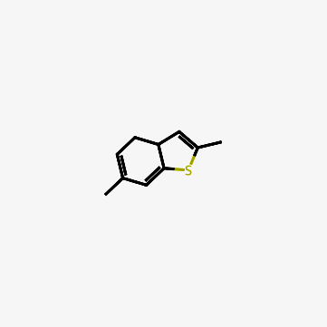 CC1=CCC2C=C(C)SC2=C1